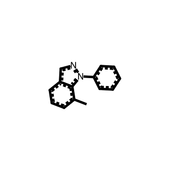 Cc1cccc2cnn(-c3ccccc3)c12